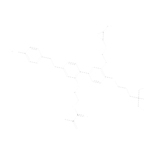 C=C(C)C(=O)OCCOc1cc(CCc2ccc(CCCCC)cc2)ccc1-c1ccc(OCCCC(CO)(CO)C(C)(C)C)c(CCOC2OC2C(C)C)c1